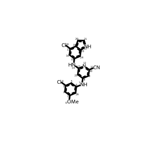 COc1cc(Cl)cc(Nc2cc(C#N)nc(Nc3cc(Cl)c4cc[nH]c4c3)c2)c1